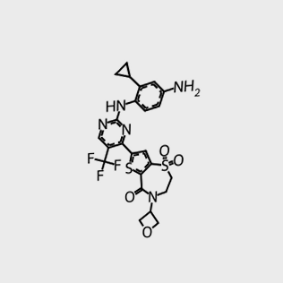 Nc1ccc(Nc2ncc(C(F)(F)F)c(-c3cc4c(s3)C(=O)N(C3COC3)CCS4(=O)=O)n2)c(C2CC2)c1